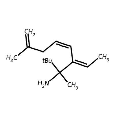 C=C(C)C/C=C\C(=C/C)C(C)(N)C(C)(C)C